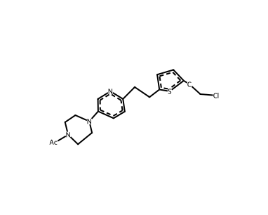 CC(=O)N1CCN(c2ccc(CCc3ccc(CCCl)s3)nc2)CC1